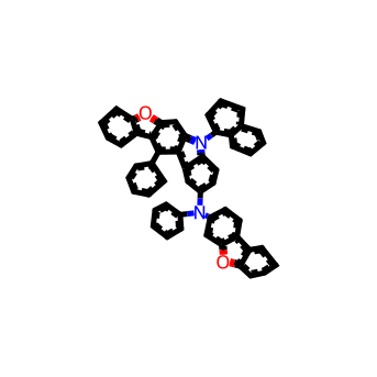 c1ccc(-c2c3c(cc4c2c2cc(N(c5ccccc5)c5ccc6c(c5)oc5ccccc56)ccc2n4-c2cccc4ccccc24)oc2ccccc23)cc1